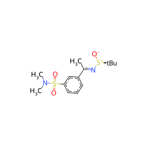 C/C(=N\[S@@+]([O-])C(C)(C)C)c1cccc(S(=O)(=O)N(C)C)c1